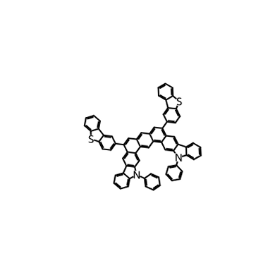 c1ccc(-n2c3ccccc3c3cc4c(-c5ccc6sc7ccccc7c6c5)cc5cc6cc(-c7ccc8sc9ccccc9c8c7)c7cc8c9ccccc9n(-c9ccccc9)c8cc7c6cc5c4cc32)cc1